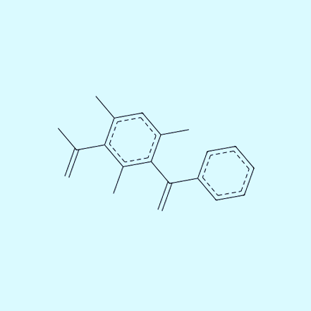 C=C(C)c1c(C)cc(C)c(C(=C)c2ccccc2)c1C